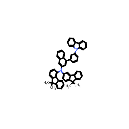 CC1(C)c2ccccc2-c2cc(N(c3cc(-c4cccc(-n5c6ccccc6c6ccccc65)c4)c4ccccc4c3)c3cccc4c3-c3ccccc3C4(C)C)ccc21